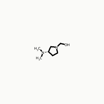 CN(C)[C@H]1CCN(CO)C1